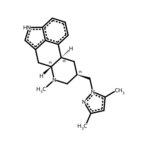 Cc1cc(C)n(C[C@@H]2C[C@@H]3c4cccc5[nH]cc(c45)C[C@H]3N(C)C2)n1